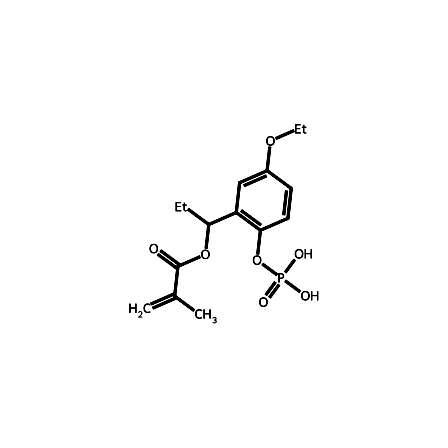 C=C(C)C(=O)OC(CC)c1cc(OCC)ccc1OP(=O)(O)O